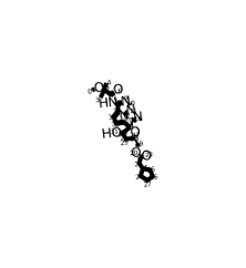 COC(C)(C)C(=O)Nc1ncnn2c([C@]3(C#N)O[C@@H](COC(=O)CC4CCCC4)[CH][C@H]3O)ccc12